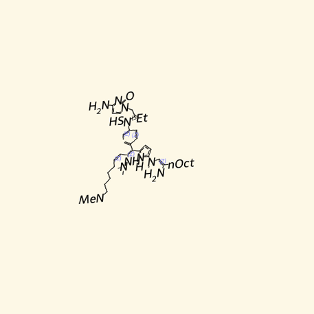 C=C(/C=C\C(=C/C)N(S)[C@@H](CC)Cn1ccc(N)nc1=O)/C(=C(\C=C/CCCCCNC)NN(C)C)c1ccc(N(C)/C=C(\N)CCCCCCCC)[nH]1